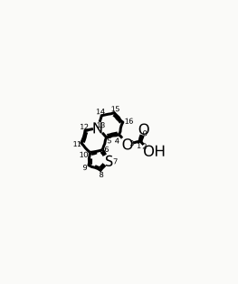 O=C(O)OC1=C2c3sccc3C=CN2CC=C1